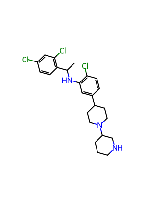 CC(Nc1cc(C2CCN(C3CCCNC3)CC2)ccc1Cl)c1ccc(Cl)cc1Cl